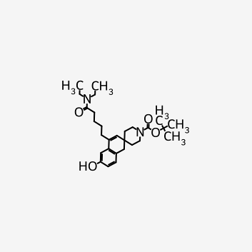 CCN(CC)C(=O)CCCCC1=CC2(CCN(C(=O)OC(C)(C)C)CC2)Cc2ccc(O)cc21